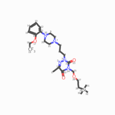 Cc1nn(CCCN2CCN(c3ccccc3OCC(F)(F)F)CC2)c(=O)n(COCC[Si](C)(C)C)c1=O